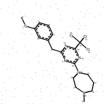 COc1cccc(Cc2nc(N3CCCN(C)CC3)nc(C(Cl)(Cl)Cl)n2)c1